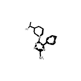 CC(O)C1CCCN(c2nnc(N)nc2-c2ccccc2)C1